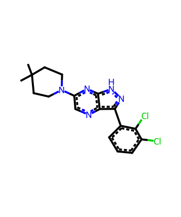 CC1(C)CCN(c2cnc3c(-c4cccc(Cl)c4Cl)n[nH]c3n2)CC1